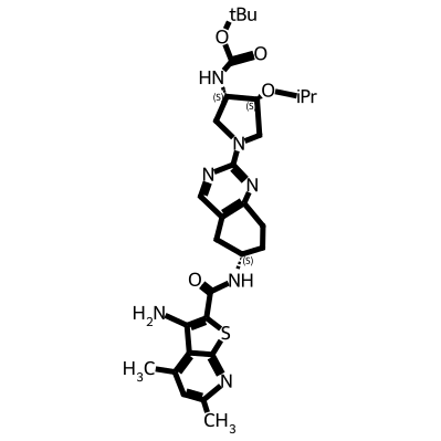 Cc1cc(C)c2c(N)c(C(=O)N[C@H]3CCc4nc(N5C[C@H](NC(=O)OC(C)(C)C)[C@@H](OC(C)C)C5)ncc4C3)sc2n1